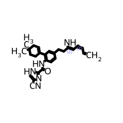 C=C/C=C\C=C(/N)CCc1ccc(NC(=O)c2nc(C#N)c[nH]2)c(C2=CCC(C)(C)CC2)c1